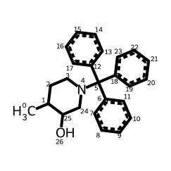 CC1CCN(C(c2ccccc2)(c2ccccc2)c2ccccc2)CC1O